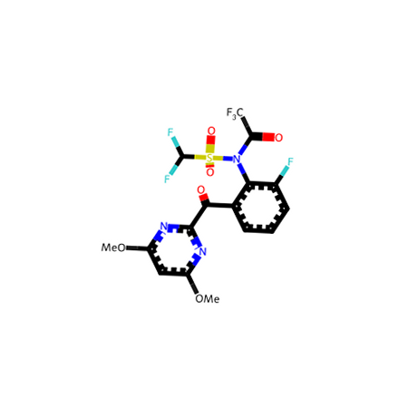 COc1cc(OC)nc(C(=O)c2cccc(F)c2N(C(=O)C(F)(F)F)S(=O)(=O)C(F)F)n1